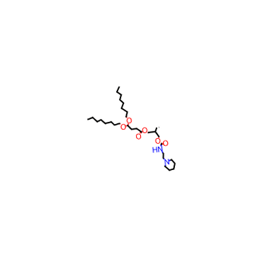 [CH2]C(COC(=O)CCC(OCCCCCCCC)OCCCCCCCC)COC(=O)NCCN1CCCCC1